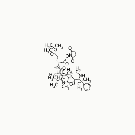 CN[C@H](C(=O)N[C@H](C(=O)N(C)[C@H](/C=C(\C)C(=O)N[C@H](CCC(=O)OC(C)(C)C)C1OC1ON1C(=O)CCC1=O)C(C)C)C(C)(C)C)C(C)(C)c1ccccc1